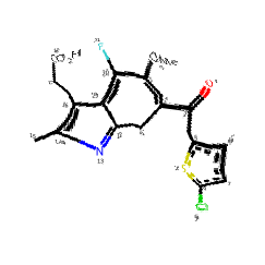 COC1=C(C(=O)c2ccc(Cl)s2)CC2=NC(C)=C(CC(=O)O)C2=C1F